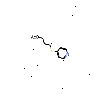 CC(=O)OCCCSc1ccncc1